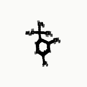 Cc1cc(N)ncc1C(C)(C)C